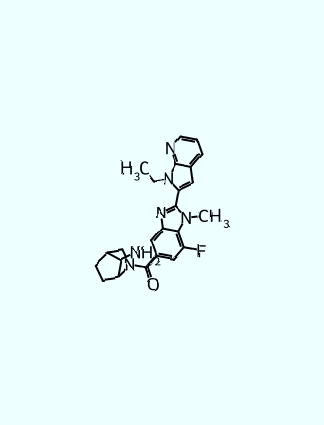 CCn1c(-c2nc3cc(C(=O)N4CC5CCC4C5N)cc(F)c3n2C)cc2cccnc21